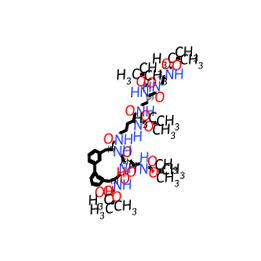 CC(C)(C)OC(=O)NCCNC(=O)[C@H](CCNC(=O)C(CCCNC(=O)[C@@H]1Cc2cccc(c2)-c2ccc(O)c(c2)C[C@H](NC(=O)OC(C)(C)C)C(=O)N[C@@H](C[C@@H](O)CNC(=O)OC(C)(C)C)C(=O)N1)NC(=O)OC(C)(C)C)NC(=O)OC(C)(C)C